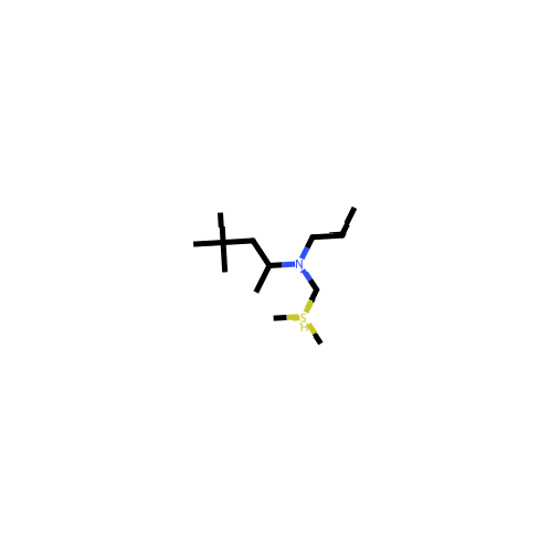 CCCN(C[SH](C)C)C(C)CC(C)(C)C